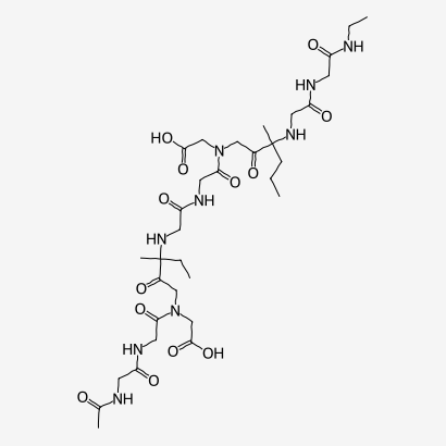 CCCC(C)(NCC(=O)NCC(=O)NCC)C(=O)CN(CC(=O)O)C(=O)CNC(=O)CNC(C)(CC)C(=O)CN(CC(=O)O)C(=O)CNC(=O)CNC(C)=O